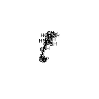 O=C(CCCCC(=O)ON1C(=O)CCC1=O)NCCO[C@H]1O[C@H](CO)[C@@H](O)[C@H](O[C@H]2O[C@H](CO)[C@@H](O)[C@H](O)[C@@H]2O)[C@@H]1O